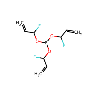 C=CC(F)OB(OC(F)C=C)OC(F)C=C